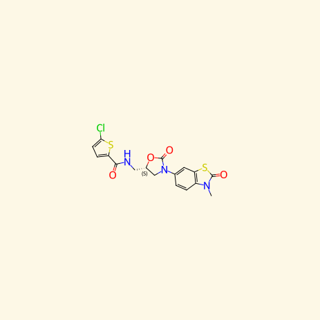 Cn1c(=O)sc2cc(N3C[C@H](CNC(=O)c4ccc(Cl)s4)OC3=O)ccc21